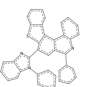 c1ccc(-c2nc3ccccc3c3c2cc(-c2nc4ccccc4n2-c2ccccc2)c2sc4ccccc4c23)cc1